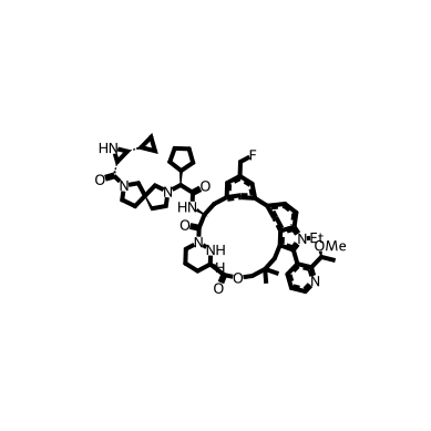 CCn1c(-c2cccnc2[C@H](C)OC)c2c3cc(ccc31)-c1cc(CF)cc(c1)C[C@H](NC(=O)[C@H](C1CCCC1)N1CC[C@]3(CCN(C(=O)[C@@H]4N[C@@H]4C4CC4)C3)C1)C(=O)N1CCC[C@H](N1)C(=O)OCC(C)(C)C2